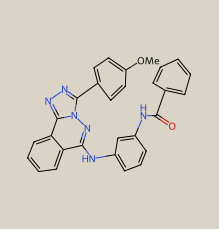 COc1ccc(-c2nnc3c4ccccc4c(Nc4cccc(NC(=O)c5ccccc5)c4)nn23)cc1